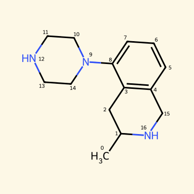 CC1Cc2c(cccc2N2CCNCC2)CN1